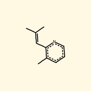 CC(C)=Cc1ncccc1C